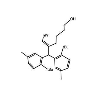 CCCC=C(CCCCO)C(c1cc(C)ccc1C(C)(C)C)c1cc(C)ccc1C(C)(C)C